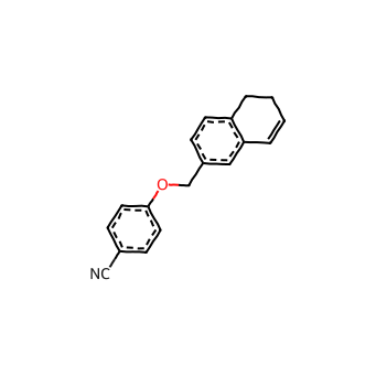 N#Cc1ccc(OCc2ccc3c(c2)C=CCC3)cc1